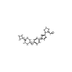 O=CN1CCCC1c1ccn(-c2ccc(OC3CCN(C4CCC4)CC3)cc2)n1